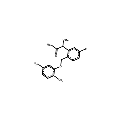 CNC(=O)C(OC)c1cc(Cl)ccc1COc1cc(C)ccc1C